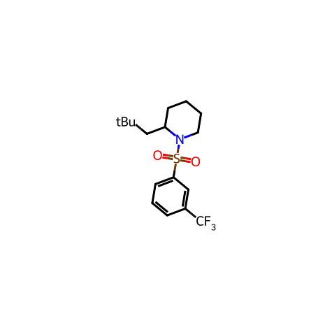 CC(C)(C)CC1CCCCN1S(=O)(=O)c1cccc(C(F)(F)F)c1